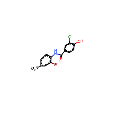 O=C(Nc1ccc([N+](=O)[O-])cc1Br)c1ccc(O)c(Cl)c1